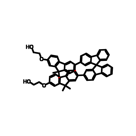 CC1(C)c2ccc(-c3ccc4c(c3)C3(c5ccccc5-4)c4ccccc4-c4ccc(-c5ccc6c(c5)C(C)(C)c5cc(OCCO)ccc5-6)cc43)cc2-c2ccc(OCCO)cc21